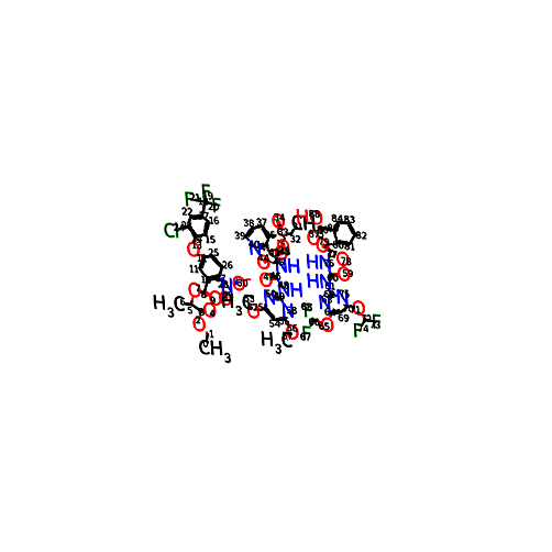 CCOC(=O)C(C)OC(=O)c1cc(Oc2ccc(C(F)(F)F)cc2Cl)ccc1[N+](=O)[O-].CCS(=O)(=O)c1cccnc1S(=O)(=O)NC(=O)Nc1nc(OC)cc(OC)n1.O=C(Nc1nc(OC(F)F)cc(OC(F)F)n1)NS(=O)(=O)c1ccccc1C(=O)O